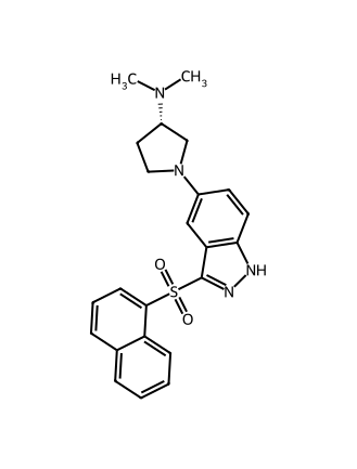 CN(C)[C@H]1CCN(c2ccc3[nH]nc(S(=O)(=O)c4cccc5ccccc45)c3c2)C1